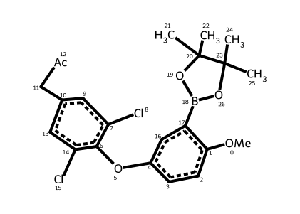 COc1ccc(Oc2c(Cl)cc(CC(C)=O)cc2Cl)cc1B1OC(C)(C)C(C)(C)O1